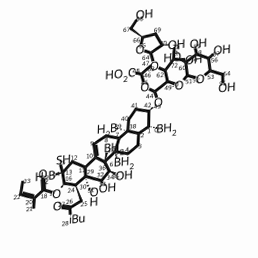 B[C@@H]1C2CC[C@]3(B)C(CC=C4C5C[C@@](B)(S)[C@@H](OC(=O)/C(C)=C\C)[C@H](CC(=O)C(C)CC)[C@]5(CO)[C@H](O)[C@H](O)[C@]43B)[C@@]2(B)CC[C@@H]1OC(OC(C)C(=O)O)C(OC1OC(CO)C(O)C(O)C1O)C(OC1O[C@@H](CO)C[C@@H]1O)C(C)O